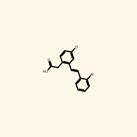 O=C(O)Cc1ccc(Cl)cc1/C=C/c1ccccc1Br